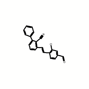 N#Cc1c(/C=C/c2ccc(C=O)cc2Cl)cccc1-c1ccccc1